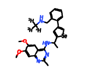 [2H]C([2H])([2H])NCc1ccccc1-c1c[se]c(C(C)Nc2nc(C)nc3cc(OC)c(OC)cc23)c1